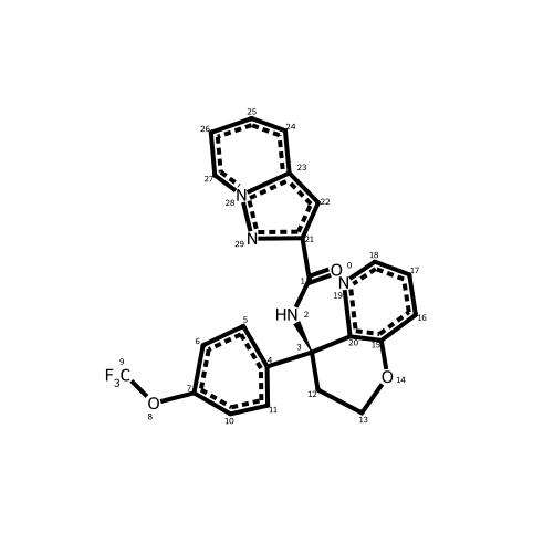 O=C(N[C@]1(c2ccc(OC(F)(F)F)cc2)CCOc2cccnc21)c1cc2ccccn2n1